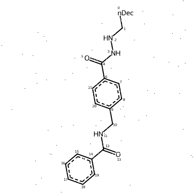 CCCCCCCCCCCNNC(=O)c1ccc(CNC(=O)c2ccccc2)cc1